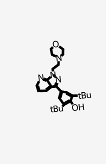 CC(C)(C)c1cc(-c2nn(CCN3CCOCC3)c3ncccc23)cc(C(C)(C)C)c1O